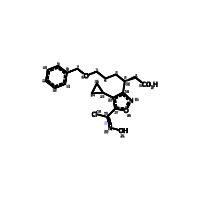 O=C(O)C[C@H](CCCOCc1ccccc1)c1noc(/C(Cl)=N\O)c1C1CC1